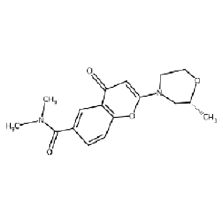 C[C@@H]1CN(c2cc(=O)c3cc(C(=O)N(C)C)ccc3o2)CCO1